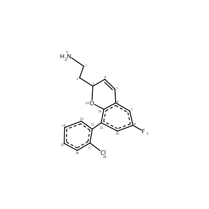 NCCC1C=Cc2cc(F)cc(-c3ccccc3Cl)c2O1